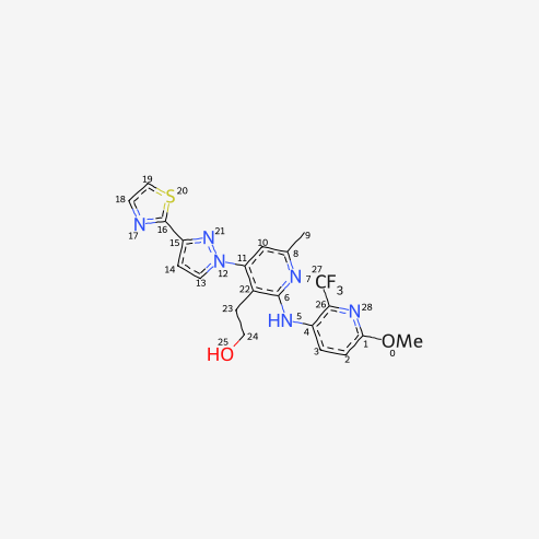 COc1ccc(Nc2nc(C)cc(-n3ccc(-c4nccs4)n3)c2CCO)c(C(F)(F)F)n1